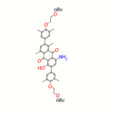 CCCCOCCOc1c(C)cc(-c2cc(C)c3c(c2C)C(=O)c2c(N)cc(-c4cc(C)c(OCCOCCCC)c(C)c4)c(O)c2C3=O)cc1C